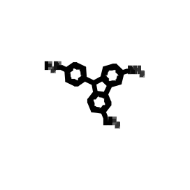 Nc1ccc(C2c3ccc(N)cc3-c3cc(N)ccc32)cc1